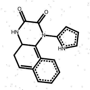 O=C1NC2CC=c3ccccc3=C2N(c2ccc[nH]2)C1=O